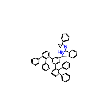 CC(N/C(=N\C1(c2ccccc2)CC1)c1ccccc1)c1cc(-c2cccc(-c3cc#ccc3)c2-c2ccccc2)cc(-c2cccc(-c3ccccc3)c2-c2ccccc2)c1